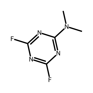 CN(C)c1nc(F)nc(F)n1